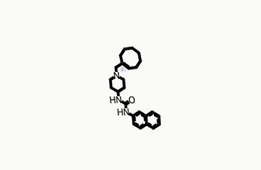 O=C(Nc1ccc2ccccc2c1)NC1CCN(C/C2=C/CCCCCC2)CC1